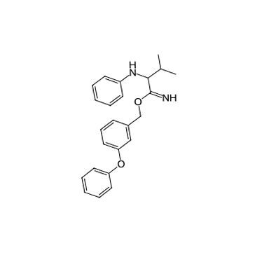 CC(C)C(Nc1ccccc1)C(=N)OCc1cccc(Oc2ccccc2)c1